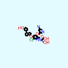 N#Cc1cncc(COc2cc(OC3CCc4c(-c5cccc(O)c5)cccc43)c(Cl)cc2CN[C@@H](CO)C(=O)O)c1